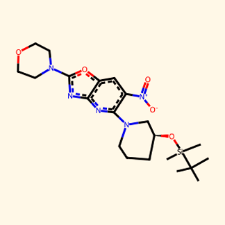 CC(C)(C)[Si](C)(C)O[C@H]1CCCN(c2nc3nc(N4CCOCC4)oc3cc2[N+](=O)[O-])C1